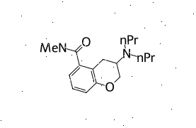 CCCN(CCC)C1COc2cccc(C(=O)NC)c2C1